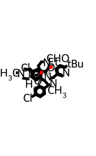 CCOc1cc(C(C)(C)C)ncc1C1=NC(C)(c2ccc(Cl)cc2)C(C)(c2ccc(Cl)cc2)N1[C@H]1CN(C=O)CC[C@@H]1C(=O)N1CCN(C)CC1